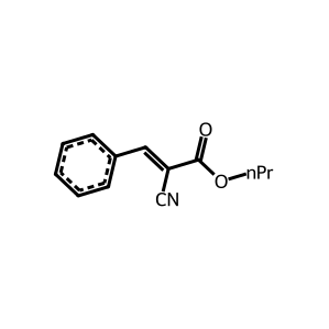 CCCOC(=O)/C(C#N)=C/c1ccccc1